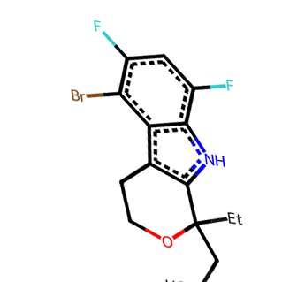 CCC1(CC(=O)O)OCCc2c1[nH]c1c(F)cc(F)c(Br)c21